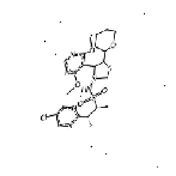 COc1ncnc(OC)c1C1C(C2CCCCO2)SCN1NS(=O)(=O)[C@@H](C)[C@H](C)c1ncc(Cl)cn1